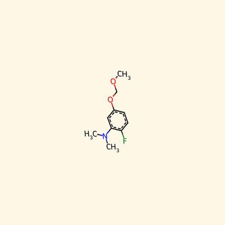 COCOc1ccc(F)c(N(C)C)c1